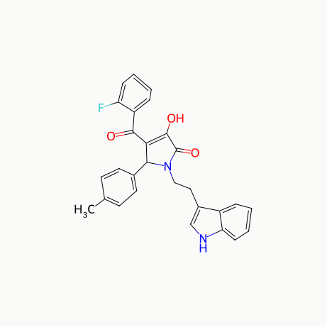 Cc1ccc(C2C(C(=O)c3ccccc3F)=C(O)C(=O)N2CCc2c[nH]c3ccccc23)cc1